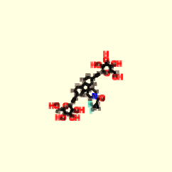 O=C(C1CC1(F)F)N1CCC2(CC1)c1cc(C#C[C@H]3O[C@H](CO)[C@@H](O)[C@H](O)[C@@H]3O)ccc1-c1ccc(C#C[C@H]3O[C@H](CO)[C@@H](O)[C@H](O)[C@@H]3O)cc12